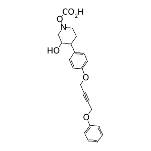 O=C(O)ON1CCC(c2ccc(OCC#CCOc3ccccc3)cc2)C(O)C1